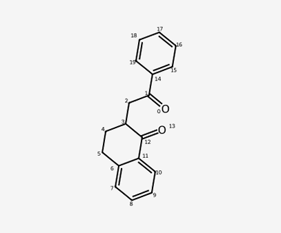 O=C(CC1CCc2ccccc2C1=O)c1ccccc1